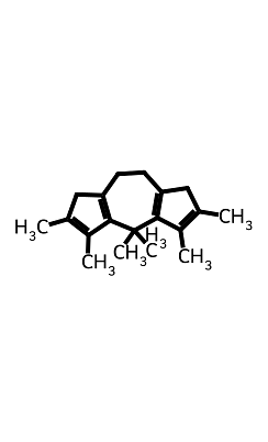 CC1=C(C)C2=C(CCC3=C(C(C)=C(C)C3)C2(C)C)C1